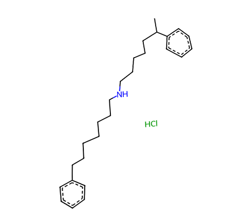 CC(CCCCCNCCCCCCCc1ccccc1)c1ccccc1.Cl